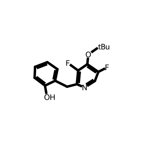 CC(C)(C)Oc1c(F)cnc(Cc2ccccc2O)c1F